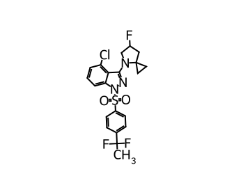 CC(F)(F)c1ccc(S(=O)(=O)n2nc(N3CC(F)CC34CC4)c3c(Cl)cccc32)cc1